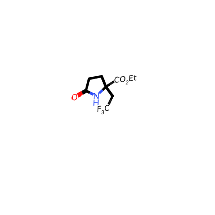 CCOC(=O)C1(CC(F)(F)F)CCC(=O)N1